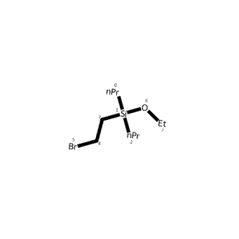 CCC[Si](CCC)(CCBr)OCC